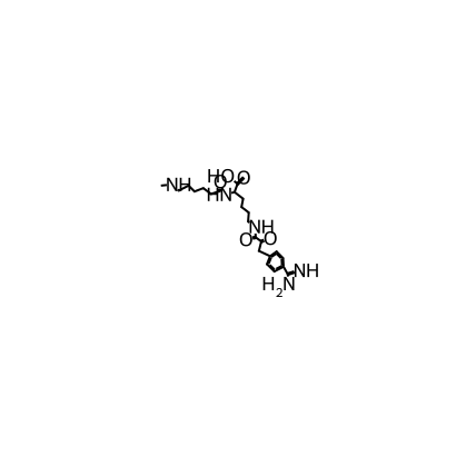 CNCCCCCC(=O)NC(CCCCNC(=O)C(=O)Cc1ccc(C(=N)N)cc1)C(=O)O